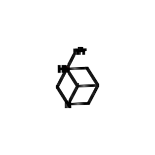 CCCN[C]1C2CCCN1C2